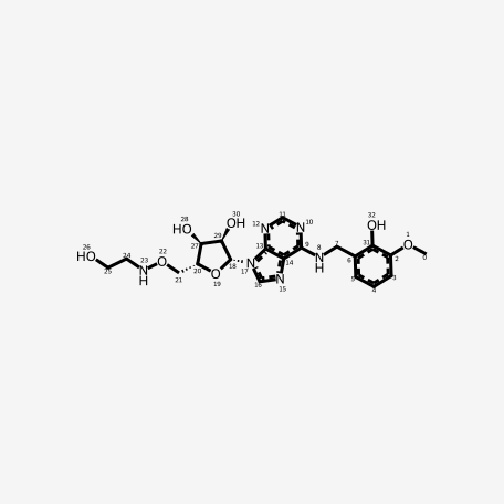 COc1cccc(CNc2ncnc3c2ncn3[C@@H]2O[C@H](CONCCO)[C@@H](O)[C@H]2O)c1O